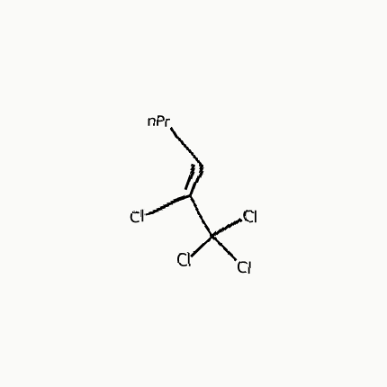 [CH2]CCC=C(Cl)C(Cl)(Cl)Cl